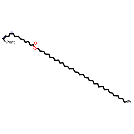 CCCCC/C=C\C/C=C\CCCCCCCC(=O)OCCCCCCCCCCCCCCCCCCCCCCCCCCCCCCCCCCCCC(C)C